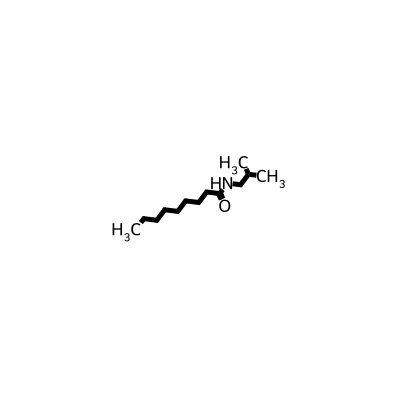 CCCCCCCCC(=O)NCC(C)C